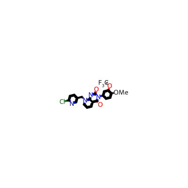 COc1ccc(-n2c(=O)nc3n(Cc4ccc(Cl)nc4)cccc-3c2=O)cc1OC(F)(F)F